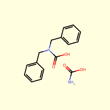 NC(=O)O.O=C(O)N(Cc1ccccc1)Cc1ccccc1